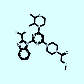 COCC(=O)N1CCN(c2cc(N3CCOC(C)C3C)nc(-n3c(C(F)F)nc4ccccc43)n2)CC1